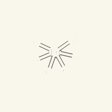 [O]=[Ru](=[O])(=[O])(=[O])(=[O])=[O]